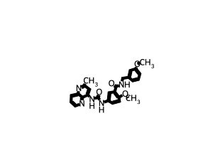 COc1cccc(CNC(=O)c2cc(NC(=O)Nc3cc(C)nc4cccnc34)ccc2OC)c1